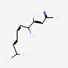 CCC(N)/C=C/C=C\C(N)/C(N)=C/C(=N)C(F)(F)F